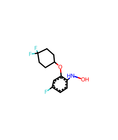 ONc1ccc(F)cc1OC1CCC(F)(F)CC1